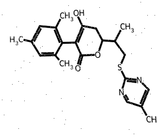 Cc1cnc(SCC(C)C2CC(O)=C(c3c(C)cc(C)cc3C)C(=O)O2)nc1